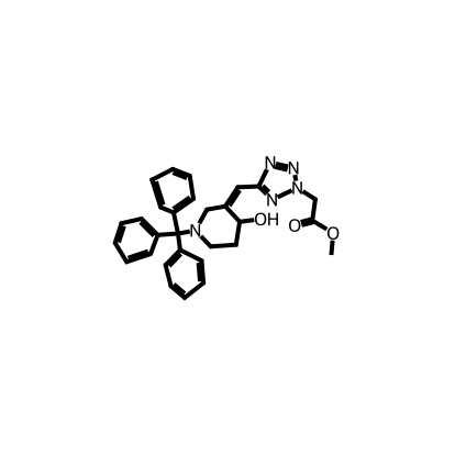 COC(=O)Cn1nnc(C=C2CN(C(c3ccccc3)(c3ccccc3)c3ccccc3)CCC2O)n1